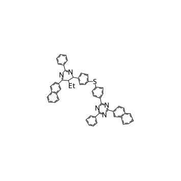 CCC1C(c2ccc3ccccc3c2)=NC(c2ccccc2)=NC1c1ccc(Sc2ccc(-c3nc(-c4ccccc4)nc(-c4ccc5ccccc5c4)n3)cc2)cc1